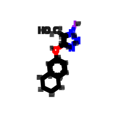 O=C(O)c1c(Oc2ccc3c(c2)CCCC3)nnn1I